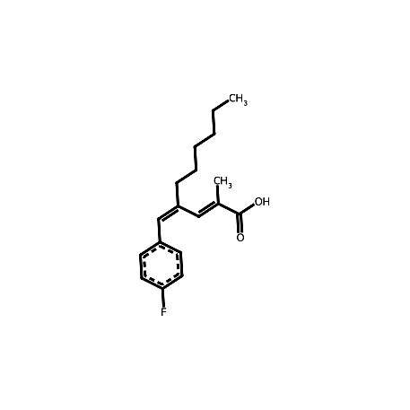 CCCCCCC(=Cc1ccc(F)cc1)C=C(C)C(=O)O